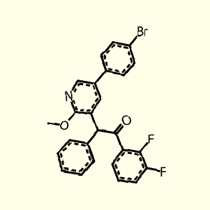 COc1ncc(-c2ccc(Br)cc2)cc1C(C(=O)c1cccc(F)c1F)c1ccccc1